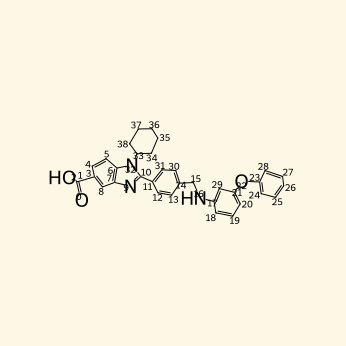 O=C(O)c1ccc2c(c1)nc(-c1ccc(CNc3cccc(Oc4ccccc4)c3)cc1)n2C1CCCCC1